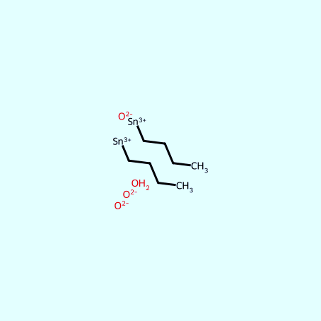 CCC[CH2][Sn+3].CCC[CH2][Sn+3].O.[O-2].[O-2].[O-2]